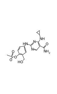 CS(=O)(=O)Oc1ccc(Nc2ncc(C(N)=O)c(NC3CC3)n2)cc1CO